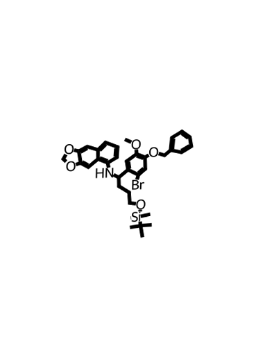 COc1cc(C(CCCO[Si](C)(C)C(C)(C)C)Nc2cccc3cc4c(cc23)OCO4)c(Br)cc1OCc1ccccc1